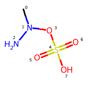 CN(N)OS(=O)(=O)O